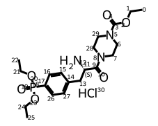 CCOC(=O)N1CCN(C(=O)[C@@H](N)Cc2ccc(P(=O)(OCC)OCC)cc2)CC1.Cl